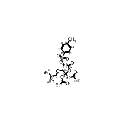 CCC(=O)OC(OC(=O)CC)(OC(=O)CC)[C@@H](COS(=O)(=O)c1ccc(C)cc1)OCP(C(C)C)C(C)C